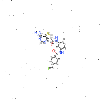 Cc1ccc(NC(=O)c2ccc(CF)cc2)cc1NC(=O)c1csc2c(N)ncnc12